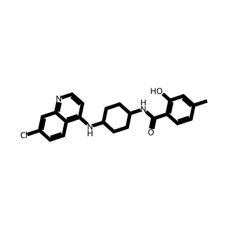 Cc1ccc(C(=O)NC2CCC(Nc3ccnc4cc(Cl)ccc34)CC2)c(O)c1